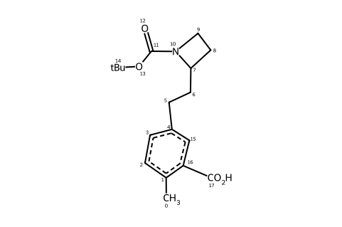 Cc1ccc(CCC2CCN2C(=O)OC(C)(C)C)cc1C(=O)O